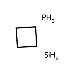 C1CCC1.P.[SiH4]